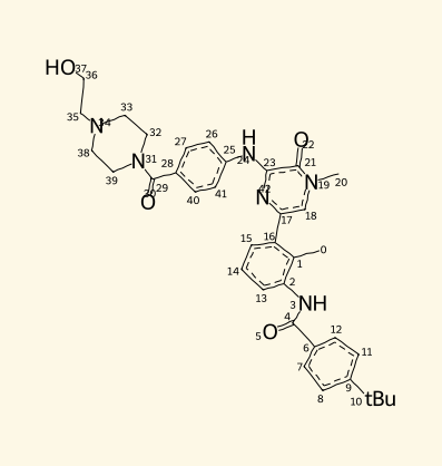 Cc1c(NC(=O)c2ccc(C(C)(C)C)cc2)cccc1-c1cn(C)c(=O)c(Nc2ccc(C(=O)N3CCN(CCO)CC3)cc2)n1